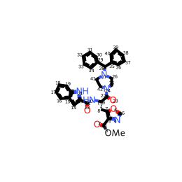 COC(=O)c1ncoc1C[C@H](NC(=O)c1cc2ccccc2[nH]1)C(=O)N1CCN(C(c2ccccc2)c2ccccc2)CC1